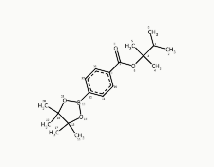 CC(C)C(C)(C)OC(=O)c1ccc(B2OC(C)(C)C(C)(C)O2)cc1